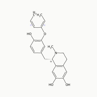 C/C=C\C(=C/C)Oc1cc(C[C@H]2c3cc(O)c(O)cc3CCN2C)ccc1O